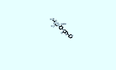 COc1cc(N2Cc3cc(-c4cccnc4)sc3C2=O)ccc1OCC(C)(C)OC(=O)CN